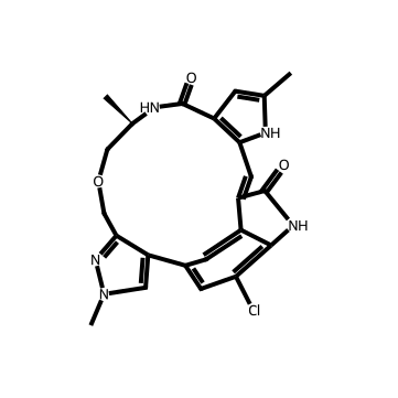 Cc1cc2c([nH]1)/C=C1\C(=O)Nc3c(Cl)cc(cc31)-c1cn(C)nc1COC[C@@H](C)NC2=O